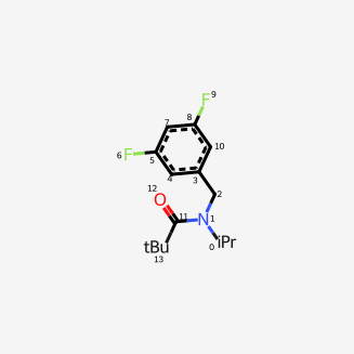 CC(C)N(Cc1cc(F)cc(F)c1)C(=O)C(C)(C)C